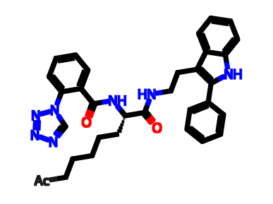 CC(=O)CCCCC[C@H](NC(=O)c1ccccc1-n1cnnn1)C(=O)NCCc1c(-c2ccccc2)[nH]c2ccccc12